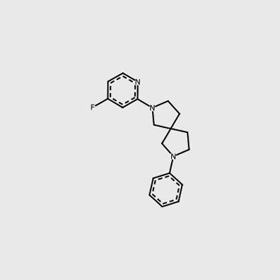 Fc1ccnc(N2CCC3(CCN(c4ccccc4)C3)C2)c1